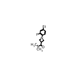 CCc1ccc(N2CC(C(=O)N(C)C)C2)c(F)c1